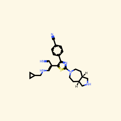 N#Cc1ccc(-c2nc(N3CC[C@@H]4CNC[C@@H]4CC3)sc2/C(C=N)=C/NCC2CC2)cc1